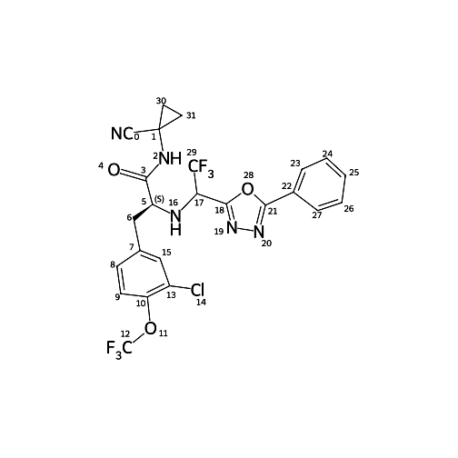 N#CC1(NC(=O)[C@H](Cc2ccc(OC(F)(F)F)c(Cl)c2)NC(c2nnc(-c3ccccc3)o2)C(F)(F)F)CC1